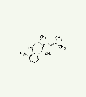 CC(C)=CCN1[C@H](C)CNc2c(N)cccc2[C@H]1C